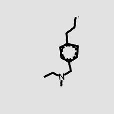 [CH2]CCc1ccc(CN(C)CC)cc1